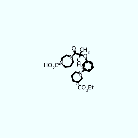 CCOC(=O)[C@@H]1CCCN(c2cccc(OC(C)(C)C(=O)N3CCCN(C(=O)O)CC3)c2)C1